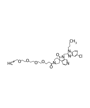 C#CCOCCOCCOCCOCCC(=O)N1CCC2(CC1)C(=O)N(Cc1nc3cc(Cl)ccc3n1CCCC)c1cnccc12